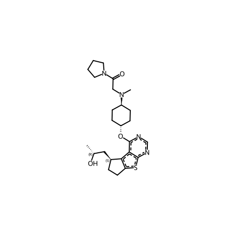 C[C@@H](O)C[C@@H]1CCc2sc3ncnc(O[C@H]4CC[C@H](N(C)CC(=O)N5CCCC5)CC4)c3c21